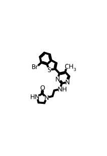 Cc1cnc(NCCN2CCNC2=O)nc1-c1cc2cccc(Br)c2s1